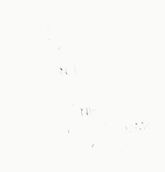 COc1cccc(C(=O)NCCCNCCc2ccccc2)c1